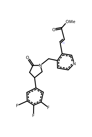 COC(=O)/C=C/c1cnccc1CN1CC(c2cc(F)c(F)c(F)c2)CC1=O